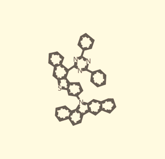 c1ccc(-c2nc(-c3ccccc3)nc(-c3c4ccccc4cc4sc5cc(-n6c7cc8ccccc8cc7c7ccc8ccccc8c76)ccc5c34)n2)cc1